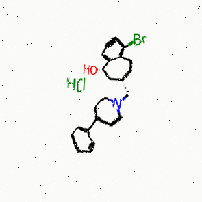 Cl.O[C@H]1C[C@@H](CN2CCC(c3ccccc3)CC2)CCc2c(Br)cccc21